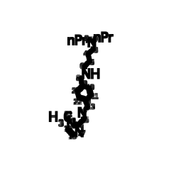 CCCN(CCC)CCCCNCc1ccc(CN=Cc2nccn2C)cc1